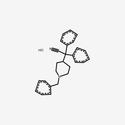 Cl.N#CC(c1ccccc1)(c1ccccc1)C1CCN(Cc2ccccc2)CC1